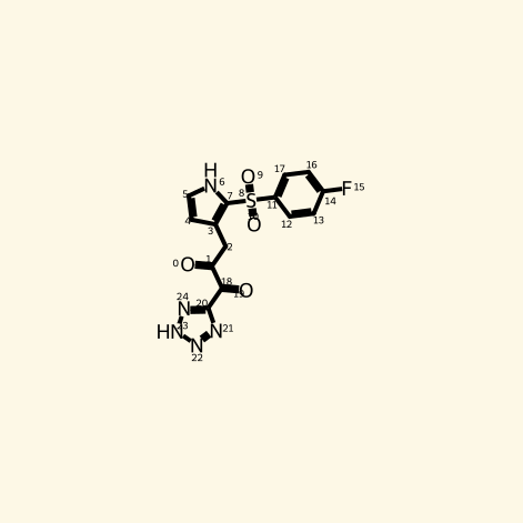 O=C(Cc1cc[nH]c1S(=O)(=O)c1ccc(F)cc1)C(=O)c1nn[nH]n1